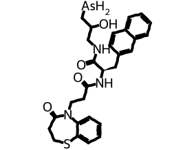 O=C(CCN1C(=O)CCSc2ccccc21)N[C@H](Cc1ccc2ccccc2c1)C(=O)NCC(O)C[AsH2]